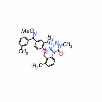 CO/N=C(\c1cccc(C)c1)c1ccc(OCc2c(C)cccc2N(N)C(=O)N(C)N)c(C)c1